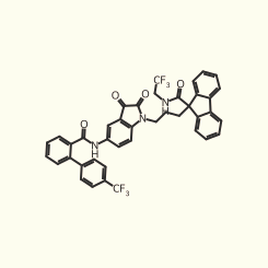 O=C(Nc1ccc2c(c1)C(=O)C(=O)N2CCCC1(C(=O)NCC(F)(F)F)c2ccccc2-c2ccccc21)c1ccccc1-c1ccc(C(F)(F)F)cc1